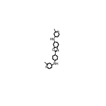 Cc1cc(Nc2ccc(-c3nc4ccc(Nc5ccnc(C)c5)cc4o3)cc2)ccn1